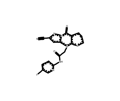 N#Cc1cc2n(CC(=O)Nc3ccc(F)cn3)c3ncccc3c(=O)n2n1